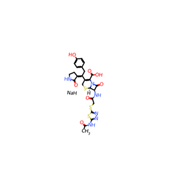 CC(=O)Nc1nnc(SCC(=O)N[C@@H]2C(=O)N3C(C(=O)O)=C(C(Cc4ccc(O)cc4)=C4CCNC4=O)CS[C@H]23)s1.[NaH]